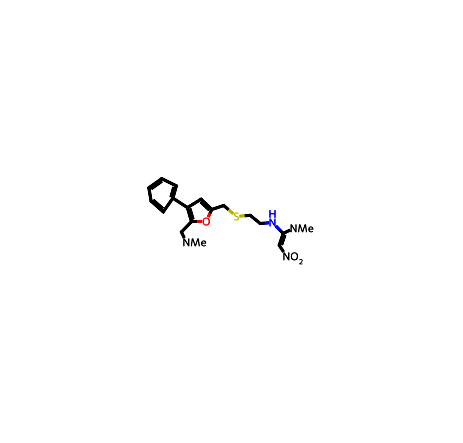 CNCc1oc(CSCCNC(=C[N+](=O)[O-])NC)cc1-c1ccccc1